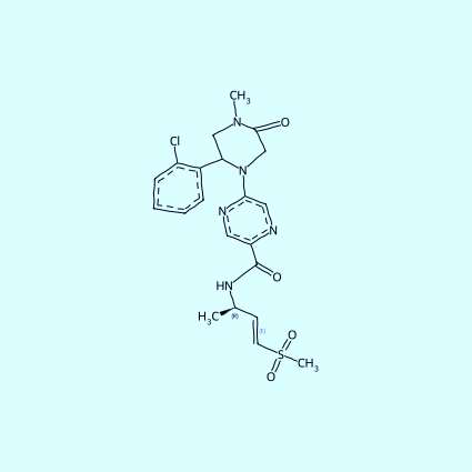 C[C@H](/C=C/S(C)(=O)=O)NC(=O)c1cnc(N2CC(=O)N(C)CC2c2ccccc2Cl)cn1